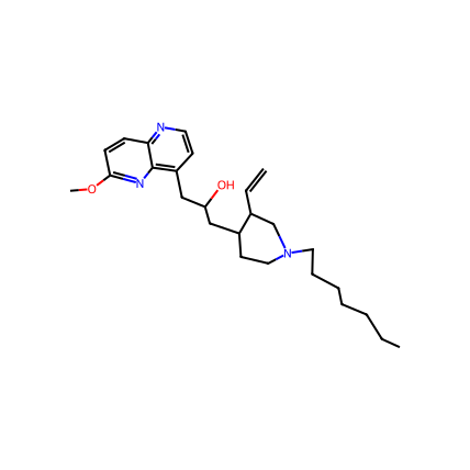 C=CC1CN(CCCCCCC)CCC1CC(O)Cc1ccnc2ccc(OC)nc12